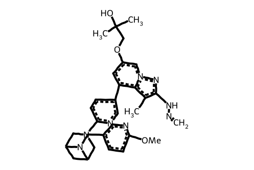 C=NNc1nn2cc(OCC(C)(C)O)cc(-c3ccc(N4CC5CC(C4)N5Cc4ccc(OC)nc4)nc3)c2c1C